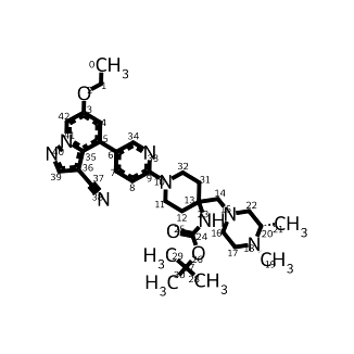 CCOc1cc(-c2ccc(N3CCC(CN4CCN(C)[C@@H](C)C4)(NC(=O)OC(C)(C)C)CC3)nc2)c2c(C#N)cnn2c1